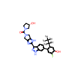 [2H]C([2H])([2H])C([2H])([2H])c1cc(O)c(F)cc1-c1ccc2c(-c3nc4c([nH]3)CN(C(=O)N3CC[C@H](O)C3)C4)n[nH]c2c1